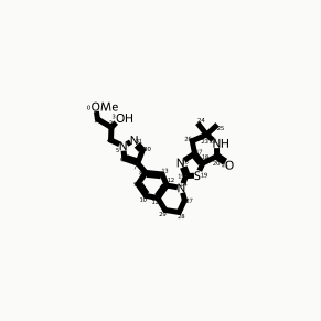 COCC(O)Cn1cc(-c2ccc3c(c2)N(c2nc4c(s2)C(=O)NC(C)(C)C4)CCC3)cn1